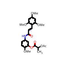 COc1cc(OC)c(/C=C/C(=O)Nc2ccc(OC)c(OC(=O)C(C)OC(C)=O)c2)c(OC)c1